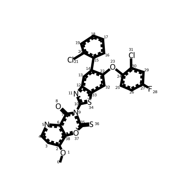 COc1ccnc2c(=O)n(-c3nc4cc(-c5ccccc5Cl)c(Oc5ccc(F)cc5Cl)cc4s3)c(=S)oc12